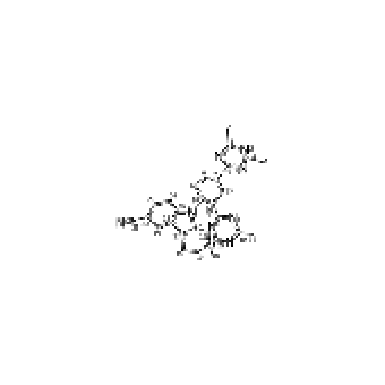 Cc1nc(C)nc(-c2ccc(-n3c4ccccc4c4cc(C#N)ccc43)c(-c3nc(C)nc(C)n3)c2)n1